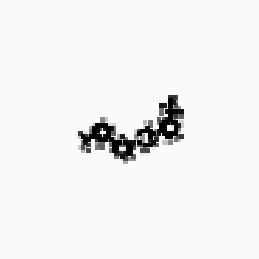 CC(=O)c1cccc(-c2cncc(N3CCN(c4cccc(C(F)(F)F)c4)CC3)n2)c1